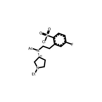 CCN1CC[C@@H](N(CCc2cc(F)ccc2S(=O)(=O)Cl)C(C)=O)C1